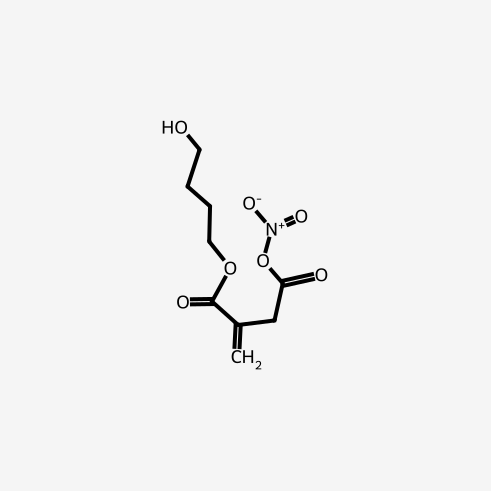 C=C(CC(=O)O[N+](=O)[O-])C(=O)OCCCCO